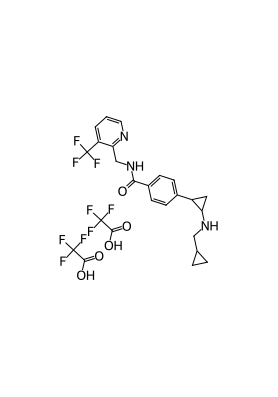 O=C(NCc1ncccc1C(F)(F)F)c1ccc(C2CC2NCC2CC2)cc1.O=C(O)C(F)(F)F.O=C(O)C(F)(F)F